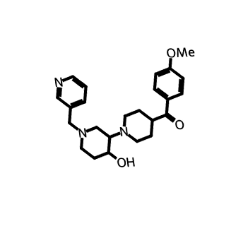 COc1ccc(C(=O)C2CCN(C3CN(Cc4cccnc4)CCC3O)CC2)cc1